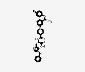 CC(Oc1ccc(F)cc1)c1cccc(N2CCC(C(=O)N[C@@H](Cc3cn(Cc4ccccc4)cn3)C(=O)O)CC2)c1